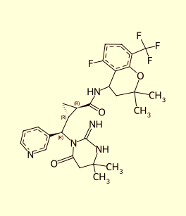 CC1(C)CC(=O)N([C@@H](c2cccnc2)[C@@H]2C[C@H]2C(=O)NC2CC(C)(C)Oc3c(C(F)(F)F)ccc(F)c32)C(=N)N1